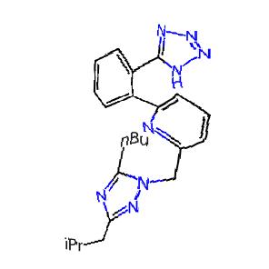 CCCCc1nc(CC(C)C)nn1Cc1cccc(-c2ccccc2-c2nnn[nH]2)n1